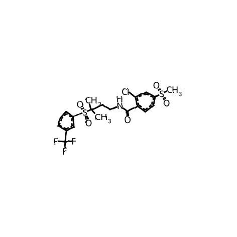 CC(C)(CCNC(=O)c1ccc(S(C)(=O)=O)cc1Cl)S(=O)(=O)c1cccc(C(F)(F)F)c1